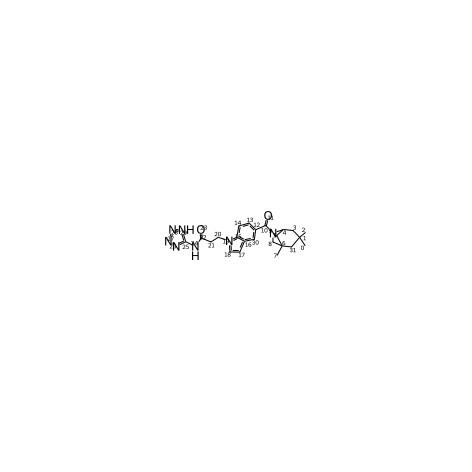 CC1(C)CC2CC(C)(CN2C(=O)c2ccc3c(ccn3CCC(=O)Nc3nnn[nH]3)c2)C1